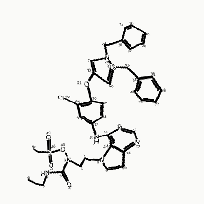 CCNC(=O)N(CCn1ccc2ncnc(Nc3ccc(OC4=CN(Cc5ccccc5)S(Cc5ccccc5)=C4)c(Cl)c3)c21)OS(C)(=O)=O